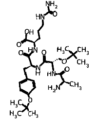 C[C@@H](N)C(=O)N[C@@H](COC(C)(C)C)C(=O)N[C@@H](Cc1ccc(OC(C)(C)C)cc1)C(=O)N[C@H](CCCNC(N)=O)C(=O)O